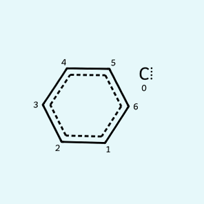 [C].c1ccccc1